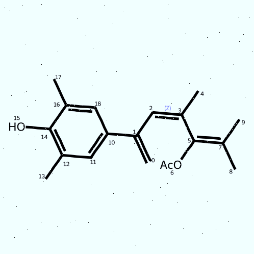 C=C(/C=C(/C)C(OC(C)=O)=C(C)C)c1cc(C)c(O)c(C)c1